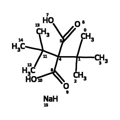 CC(C)(C)C(C(=O)O)(C(=O)O)C(C)(C)C.[NaH]